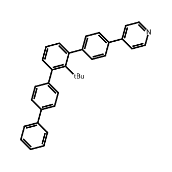 CC(C)(C)c1c(-c2ccc(-c3ccccc3)cc2)cccc1-c1ccc(-c2ccncc2)cc1